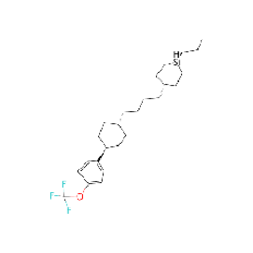 CCC[Si@H]1CC[C@H](CCCC[C@H]2CC[C@H](c3ccc(OC(F)(F)F)cc3)CC2)CC1